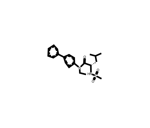 CCN(C(=O)[C@H](CC(C)C)NS(C)(=O)=O)c1ccc(-c2ccccc2)cc1